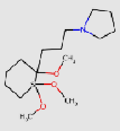 COC1(CCCN2CCCC2)CCCC[Si]1(OC)OC